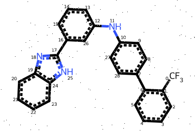 FC(F)(F)c1ccccc1-c1ccc(Nc2cccc(-c3nc4ccccc4[nH]3)c2)cc1